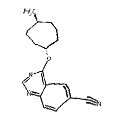 C[C@H]1CC[C@H](Oc2ncnc3ccc(C#N)cc23)CC1